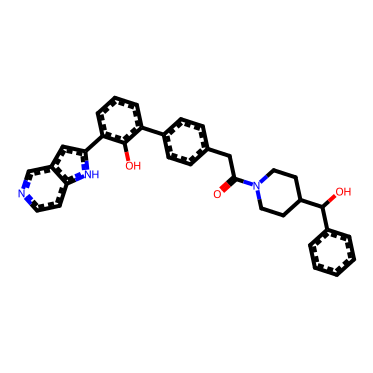 O=C(Cc1ccc(-c2cccc(-c3cc4cnccc4[nH]3)c2O)cc1)N1CCC(C(O)c2ccccc2)CC1